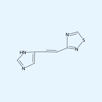 C(=C\c1cnc[nH]1)/c1ncsn1